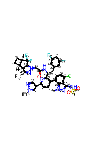 CC(C)n1cc(-c2ccc(-c3ccc(Cl)c4c(NS(C)(=O)=O)nn(C)c34)c([C@H](Cc3cc(F)cc(F)c3)NC(=O)Cn3nc(C(F)(F)F)c4c3C(F)(F)[C@@H]3CC[C@H]43)n2)cn1